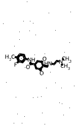 Cc1ccc(NC(=O)C2CC(=O)C(=CNCCN(C)C)C(=O)C2)cc1F